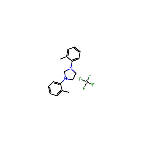 Cc1ccccc1N1CCN(c2ccccc2C)C1.F[B-](F)(F)F